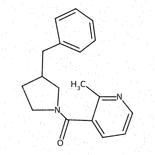 Cc1ncccc1C(=O)N1CCC(Cc2ccccc2)C1